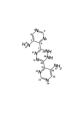 Nc1cncnc1C1=NN=C(c2ncncc2N)NN1